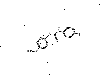 CC(C)Cc1ccc(NC(=O)Nc2ccc(F)cc2)cc1